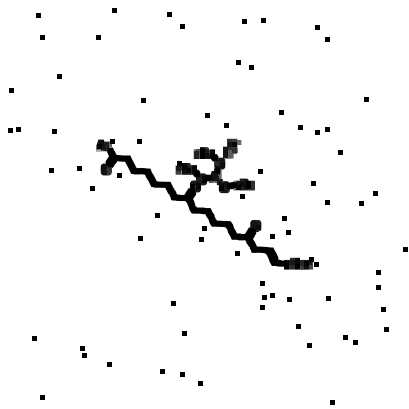 CCCCCCCCCC=CCC(=O)CCCCCC(=O)CCCCCCC(=O)C(C)=O.CCCC[O][Al]([O]CCCC)[O]CCCC.[H-].[Li+]